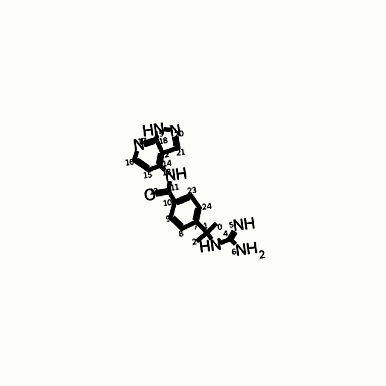 CC(C)(NC(=N)N)c1ccc(C(=O)Nc2ccnc3[nH]ncc23)cc1